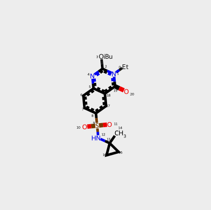 CCn1c(OCC(C)C)nc2ccc(S(=O)(=O)NC3(C)CC3)cc2c1=O